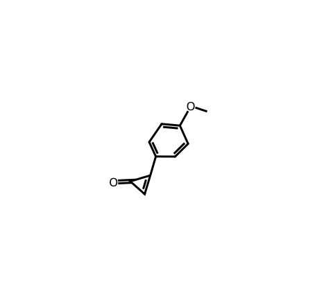 COc1ccc(-c2cc2=O)cc1